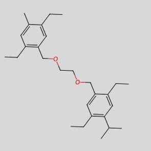 CCc1cc(COCCOCc2cc(CC)c(C(C)C)cc2CC)c(CC)cc1C